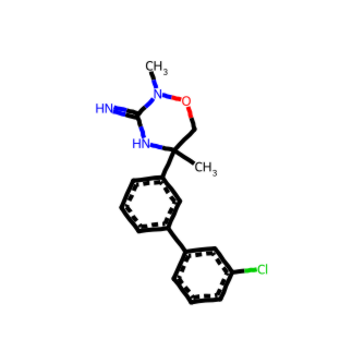 CN1OCC(C)(c2cccc(-c3cccc(Cl)c3)c2)NC1=N